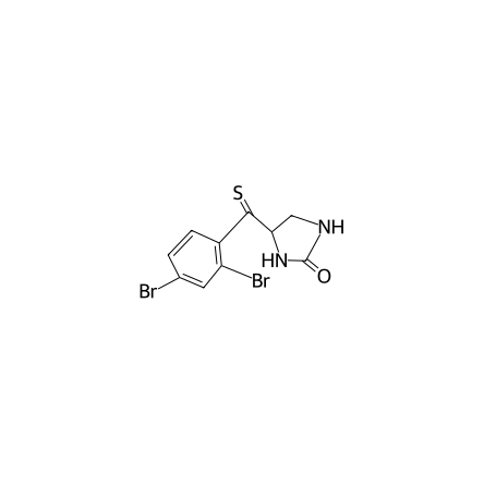 O=C1NCC(C(=S)c2ccc(Br)cc2Br)N1